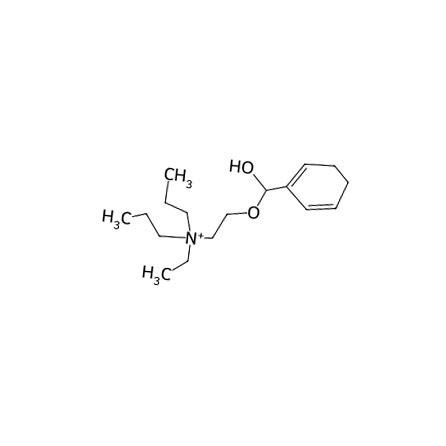 CCC[N+](CC)(CCC)CCOC(O)C1=CCCC=C1